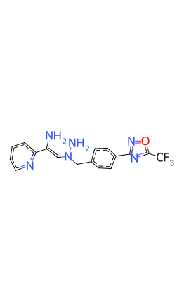 N/C(=C\N(N)Cc1ccc(-c2noc(C(F)(F)F)n2)cc1)c1ccccn1